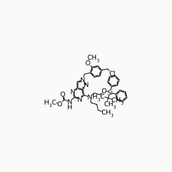 CCCCN(CCO[Si](c1ccccc1)(c1ccccc1)C(C)(C)C)c1nc(NC(=O)OC)nc2cn(Cc3ccc(CCl)cc3OC)nc12